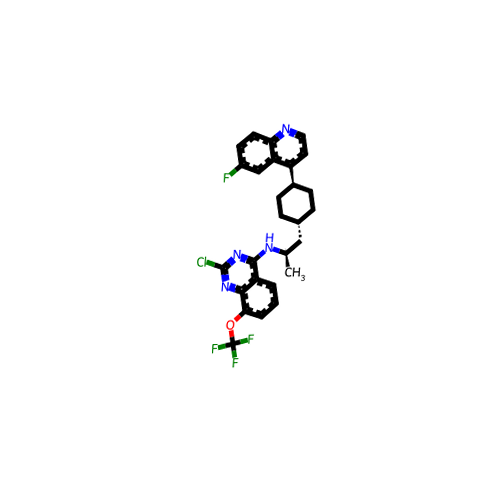 C[C@H](C[C@H]1CC[C@H](c2ccnc3ccc(F)cc32)CC1)Nc1nc(Cl)nc2c(OC(F)(F)F)cccc12